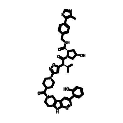 Cc1ncsc1-c1ccc(CNC(=O)[C@@H]2C[C@@H](O)CN2C(=O)[C@@H](c2cc(N3CCC(C(=O)N4CCc5[nH]c6nnc(-c7ccccc7O)cc6c5C4)CC3)no2)C(C)C)cc1